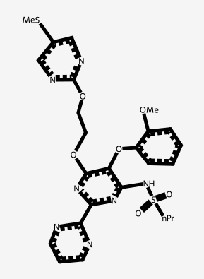 CCCS(=O)(=O)Nc1nc(-c2ncccn2)nc(OCCOc2ncc(SC)cn2)c1Oc1ccccc1OC